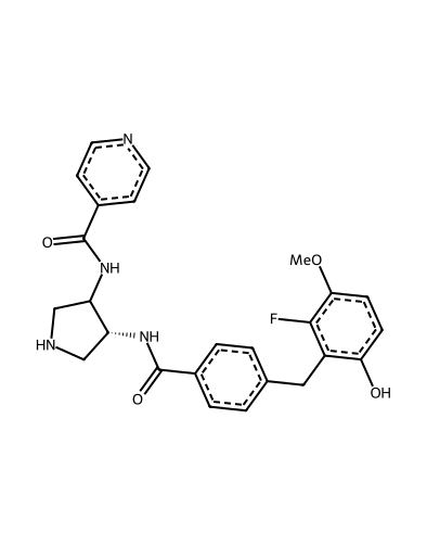 COc1ccc(O)c(Cc2ccc(C(=O)N[C@@H]3CNCC3NC(=O)c3ccncc3)cc2)c1F